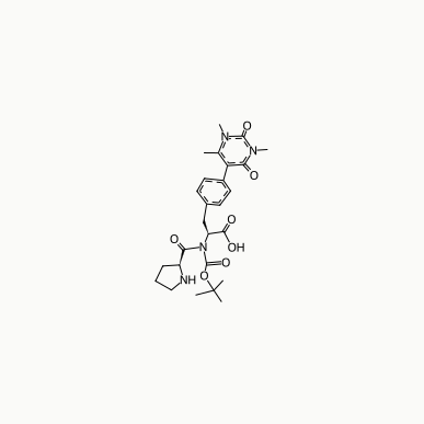 Cc1c(-c2ccc(C[C@@H](C(=O)O)N(C(=O)OC(C)(C)C)C(=O)[C@@H]3CCCN3)cc2)c(=O)n(C)c(=O)n1C